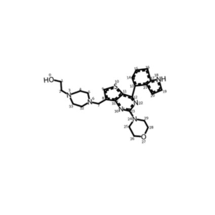 OCCN1CCN(Cc2csc3c(-c4cccc5[nH]ccc45)nc(N4CCOCC4)nc23)CC1